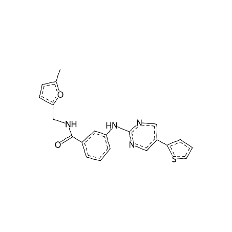 Cc1ccc(CNC(=O)c2cccc(Nc3ncc(-c4cccs4)cn3)c2)o1